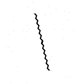 [CH2]CCCCCCCCCCC=CCCCCCCCCCC[CH2]